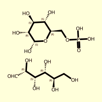 O=C[C@H](O)[C@@H](O)[C@H](O)[C@H](O)CO.O=P(O)(O)OC[C@H]1O[C@H](O)[C@H](O)[C@@H](O)[C@@H]1O